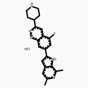 Cc1cc2cc(-c3cc(F)c4cc(C5CCNCC5)nnc4c3)[nH]c2c(C)n1.Cl